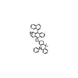 CC1(C)C2=C(C=C(Oc3c4ccccc4c(-c4cccc5ccccc45)c4cnccc34)CC2)N(c2ccccc2)c2ccccc21